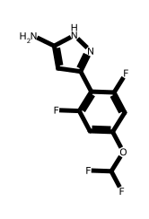 Nc1cc(-c2c(F)cc(OC(F)F)cc2F)n[nH]1